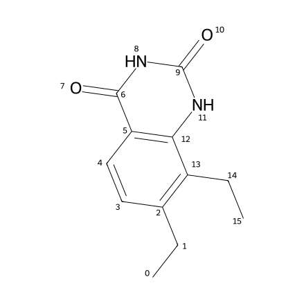 CCc1ccc2c(=O)[nH]c(=O)[nH]c2c1CC